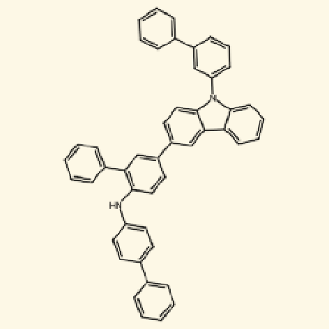 c1ccc(-c2ccc(Nc3ccc(-c4ccc5c(c4)c4ccccc4n5-c4cccc(-c5ccccc5)c4)cc3-c3ccccc3)cc2)cc1